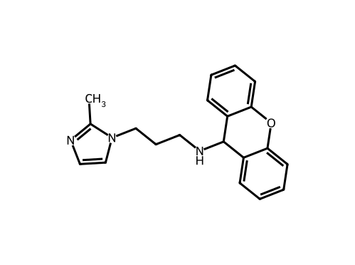 Cc1nccn1CCCNC1c2ccccc2Oc2ccccc21